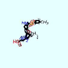 Cc1ccc(S(=O)(=O)c2c[nH]c3ccc(Oc4c(C)cc(C[C@@H](N)C(=O)O)cc4C)cc23)cc1